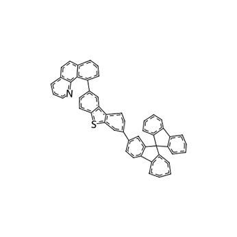 c1ccc2c(c1)-c1ccccc1C21c2ccccc2-c2ccc(-c3ccc4c(c3)sc3ccc(-c5cccc6ccc7cccnc7c56)cc34)cc21